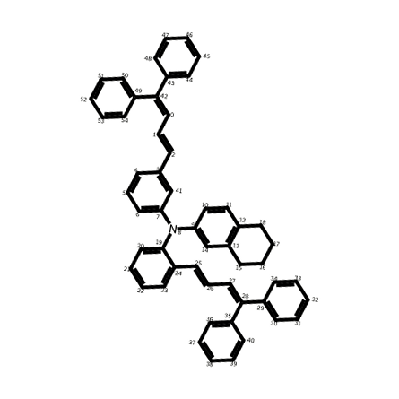 C(/C=C/c1cccc(N(c2ccc3c(c2)CCCC3)c2ccccc2/C=C/C=C(c2ccccc2)c2ccccc2)c1)=C(c1ccccc1)c1ccccc1